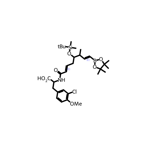 COc1ccc(CC(NC(=O)/C=C/CC(O[Si](C)(C)C(C)(C)C)C(C)/C=C/B2OC(C)(C)C(C)(C)O2)C(=O)O)cc1Cl